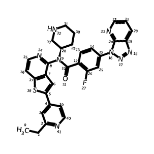 CCc1cc(-c2cc3c(N(C(=O)c4ccc(-n5nnc6cccnc65)cc4F)[C@@H]4CCCNC4)nccc3s2)ccn1